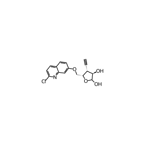 C#C[C@H]1[C@@H](COc2ccc3ccc(Cl)nc3c2)OC(O)[C@@H]1O